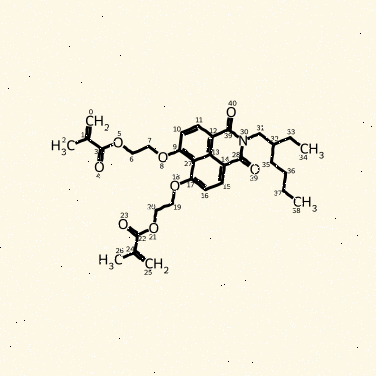 C=C(C)C(=O)OCCOc1ccc2c3c(ccc(OCCOC(=O)C(=C)C)c13)C(=O)N(CC(CC)CCCC)C2=O